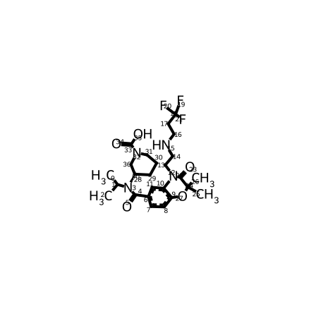 CC(C)N(C(=O)c1ccc2c(c1)N(CCNCCC(F)(F)F)C(=O)C(C)(C)O2)[C@@H]1CCCN(C(=O)O)C1